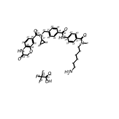 CN(CCCCCCN)C(=O)c1ccc(NC(=O)c2ccc(CN(C(=O)c3ccc4c(c3)OCC(=O)N4)C3CC3)cc2)cc1.O=C(O)C(F)(F)F